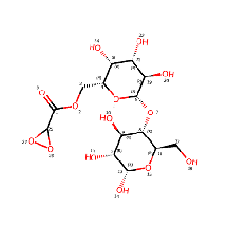 O=C(OC[C@H]1O[C@@H](O[C@H]2[C@H](O)[C@@H](O)[C@@H](O)O[C@@H]2CO)[C@H](O)[C@@H](O)[C@H]1O)C1OO1